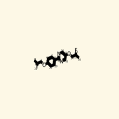 CC(F)COc1ccc(-c2ncc(OCC(C)F)cn2)cc1